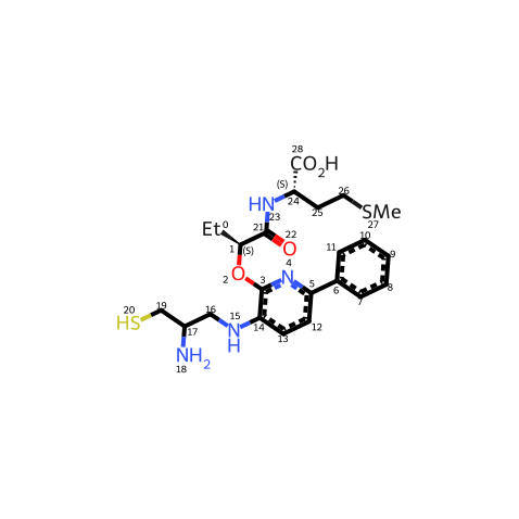 CC[C@H](Oc1nc(-c2ccccc2)ccc1NCC(N)CS)C(=O)N[C@@H](CCSC)C(=O)O